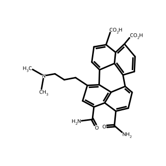 CN(C)CCCc1cc(C(N)=O)c2c(C(N)=O)ccc3c4ccc(C(=O)O)c5c(C(=O)O)ccc(c1c23)c54